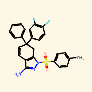 Cc1ccc(S(=O)(=O)n2nc(N)c3c2CC(c2ccccc2)(c2ccc(F)c(F)c2)C=C3)cc1